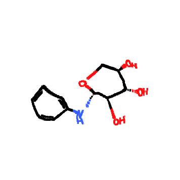 O[C@@H]1[C@@H](O)[C@H](Nc2ccccc2)OC[C@H]1O